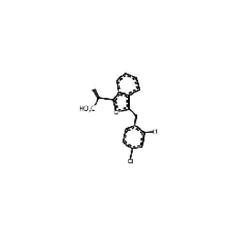 C=C(C(=O)O)c1oc(Cc2ccc(Cl)cc2Cl)c2ccccc12